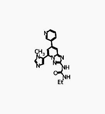 CCNC(=O)Nc1nc2cc(-c3cccnc3)cc(-c3cncn3C)n2n1